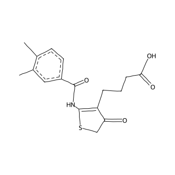 Cc1ccc(C(=O)NC2=C(CCCC(=O)O)C(=O)CS2)cc1C